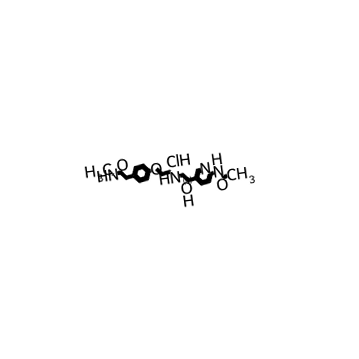 CNC(=O)Cc1ccc(OCCNC[C@H](O)c2ccc(NC(C)=O)nc2)cc1.Cl